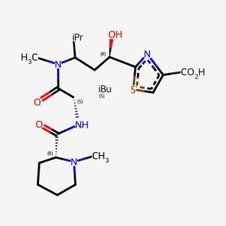 CC[C@H](C)[C@H](NC(=O)[C@H]1CCCCN1C)C(=O)N(C)C(C[C@@H](O)c1nc(C(=O)O)cs1)C(C)C